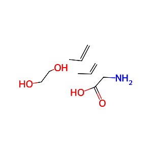 C=CC.C=CC.NCC(=O)O.OCCO